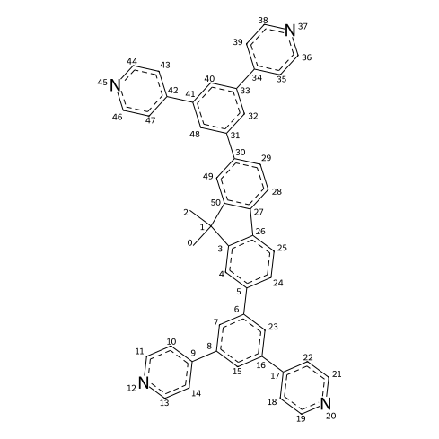 CC1(C)c2cc(-c3cc(-c4ccncc4)cc(-c4ccncc4)c3)ccc2-c2ccc(-c3cc(-c4ccncc4)cc(-c4ccncc4)c3)cc21